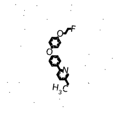 CCc1ccc(-c2ccc(Oc3ccc(OCCF)cc3)cc2)nc1